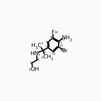 CC(C)(NCCO)c1cc(F)c(N)c(Br)c1